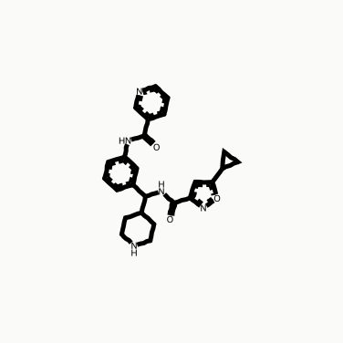 O=C(Nc1cccc(C(NC(=O)c2cc(C3CC3)on2)C2CCNCC2)c1)c1cccnc1